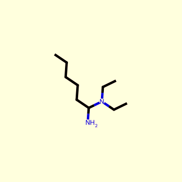 CCCCCC(N)N(CC)CC